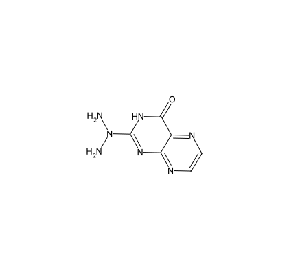 NN(N)c1nc2nccnc2c(=O)[nH]1